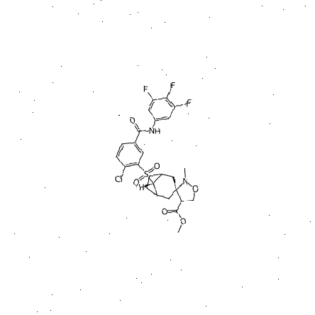 COC(=O)C1CON(C)[C@]12CC1CCC(C2)[C@@H]1S(=O)(=O)c1cc(C(=O)Nc2cc(F)c(F)c(F)c2)ccc1Cl